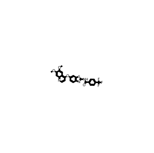 COc1cc2nccc(Oc3ccc4nc(NC(=O)c5ccc(C(F)(F)F)cc5)sc4c3)c2cc1OC